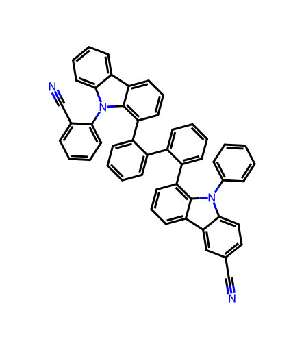 N#Cc1ccc2c(c1)c1cccc(-c3ccccc3-c3ccccc3-c3cccc4c5ccccc5n(-c5ccccc5C#N)c34)c1n2-c1ccccc1